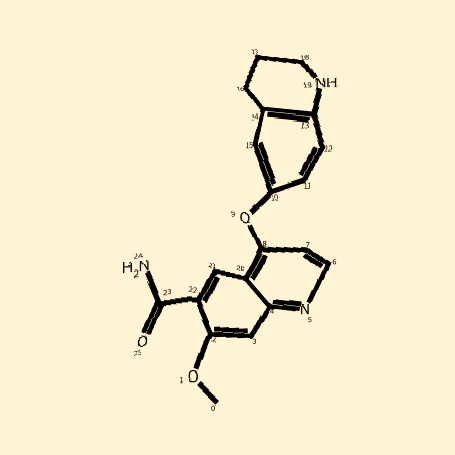 COc1cc2nccc(Oc3ccc4c(c3)CCCN4)c2cc1C(N)=O